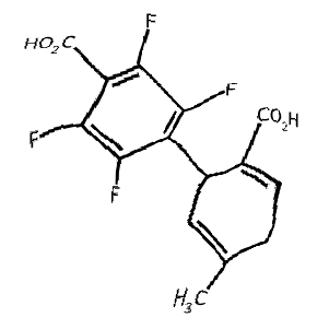 CC1=CC(c2c(F)c(F)c(C(=O)O)c(F)c2F)C(C(=O)O)=CC1